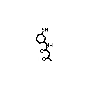 CC(O)CC(=O)NC1CCCC(S)C1